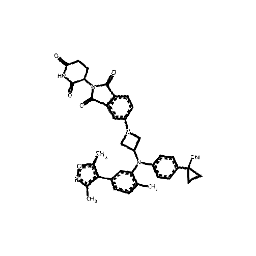 Cc1ccc(-c2c(C)noc2C)cc1N(c1ccc(C2(C#N)CC2)cc1)C1CN(c2ccc3c(c2)C(=O)N(C2CCC(=O)NC2=O)C3=O)C1